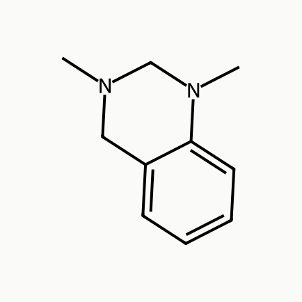 CN1Cc2ccccc2N(C)C1